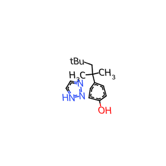 CC(C)(C)CC(C)(C)c1ccc(O)cc1.c1c[nH]nn1